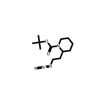 CC(C)(C)OC(=O)N1CCCCC1CCN=[N+]=[N-]